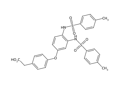 Cc1ccc(S(=O)(=O)Nc2ccc(Oc3ccc(CC(=O)O)cc3)cc2NS(=O)(=O)c2ccc(C)cc2)cc1